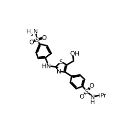 CC(C)NS(=O)(=O)c1ccc(-c2nc(Nc3ccc(S(N)(=O)=O)cc3)sc2CO)cc1